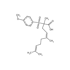 COc1ccc(S(=O)(=O)C(C)(CC=C(C)CCC=C(C)C)C(=O)O)cc1